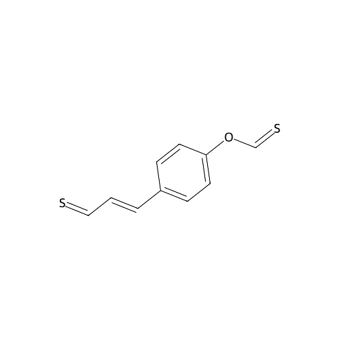 S=CC=Cc1ccc(OC=S)cc1